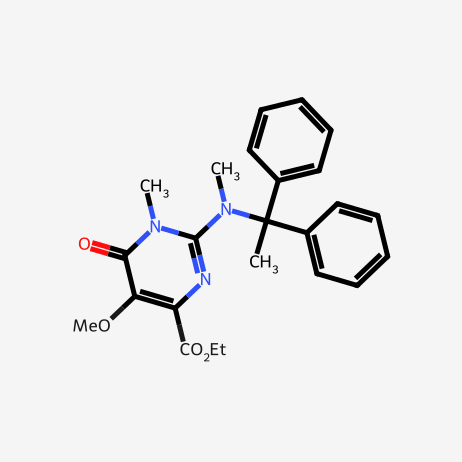 CCOC(=O)c1nc(N(C)C(C)(c2ccccc2)c2ccccc2)n(C)c(=O)c1OC